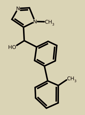 Cc1ccccc1-c1cccc(C(O)c2cncn2C)c1